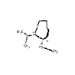 CO[C@H]1CCC[C@@H]1N(C)C